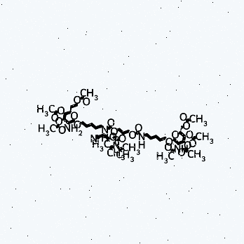 CC(=O)N[C@H]1[C@H](OCCCCCNC(=O)OCC(COC(=O)NCCCCCO[C@@H]2O[C@H](CCOC(C)=O)[C@H](OC(C)=O)[C@H](OC(C)=O)[C@H]2N)OP(OCCC#N)N(C(C)C)C(C)C)O[C@H](COC(C)=O)[C@H](OC(C)=O)[C@@H]1OC(C)=O